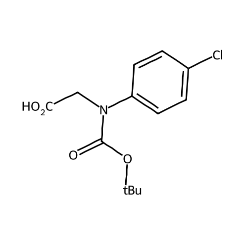 CC(C)(C)OC(=O)N(CC(=O)O)c1ccc(Cl)cc1